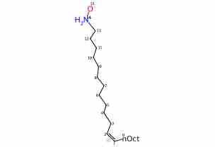 CCCCCCCC/C=C\CCCCCCCCCCC[NH2+][O-]